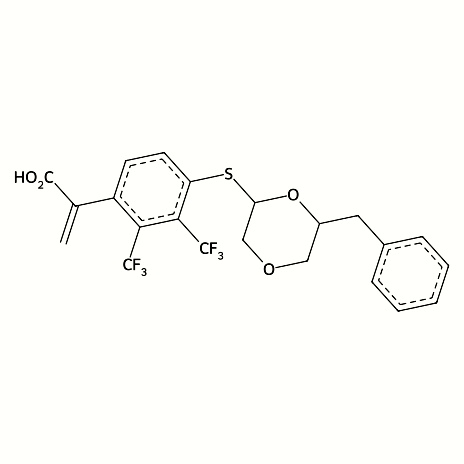 C=C(C(=O)O)c1ccc(SC2COCC(Cc3ccccc3)O2)c(C(F)(F)F)c1C(F)(F)F